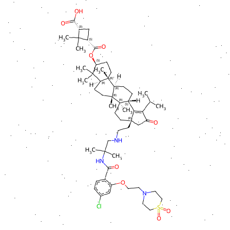 CC(C)C1=C2[C@H]3CC[C@@H]4[C@@]5(C)CC[C@H](OC(=O)[C@H]6C[C@@H](C(=O)O)C6(C)C)C(C)(C)[C@@H]5CC[C@@]4(C)[C@]3(C)CC[C@@]2(CCNCC(C)(C)NC(=O)c2ccc(Cl)cc2OCCN2CCS(=O)(=O)CC2)CC1=O